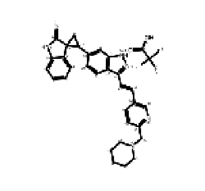 O=C(O)C(F)(F)F.O=C1Nc2ccccc2C12CC2c1ccc2c(/C=C/c3ccc(CN4CCCCC4)nc3)n[nH]c2c1